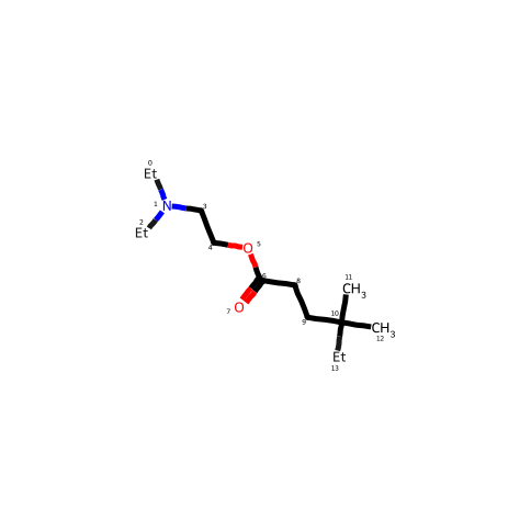 CCN(CC)CCOC(=O)CCC(C)(C)CC